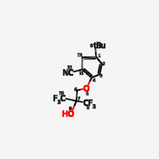 CC(C)(C)c1ccc(OCC(O)(C(F)(F)F)C(F)(F)F)c(C#N)c1